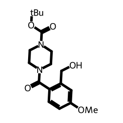 COc1ccc(C(=O)N2CCN(C(=O)OC(C)(C)C)CC2)c(CO)c1